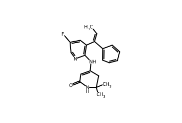 C/C=C(/c1ccccc1)c1cc(F)cnc1NC1=CC(=O)NC(C)(C)C1